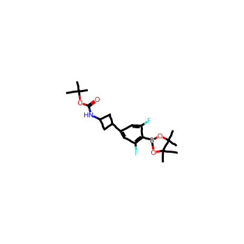 CC(C)(C)OC(=O)NC1CC(c2cc(F)c(B3OC(C)(C)C(C)(C)O3)c(F)c2)C1